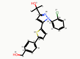 CC(C)(O)c1cc(-c2ccc(-c3ccc(CO)cc3)s2)n(-c2ccccc2Cl)n1